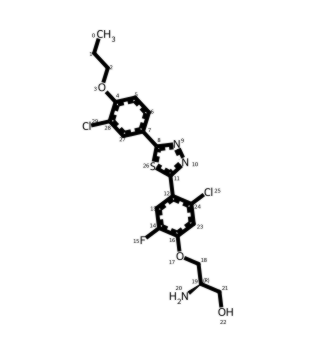 CCCOc1ccc(-c2nnc(-c3cc(F)c(OC[C@H](N)CO)cc3Cl)s2)cc1Cl